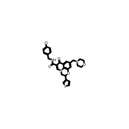 O=C(NCc1ccc(Cl)cc1)c1cn2c3c(cc(CN4CCOCC4)cc3c1=O)OC(c1ccsc1)C2